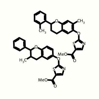 COC(=O)c1cnc(Oc2cc3c(cc2C)OC(c2ccccc2C)CC3)s1.COC(=O)c1cnc(Oc2ccc3c(c2)CC(C)C(c2ccccc2)O3)s1